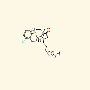 C[C@]12CC[C@@H]3c4cccc(F)c4CC[C@H]3[C@@H]1[C@H](CCCC(=O)O)CC2=O